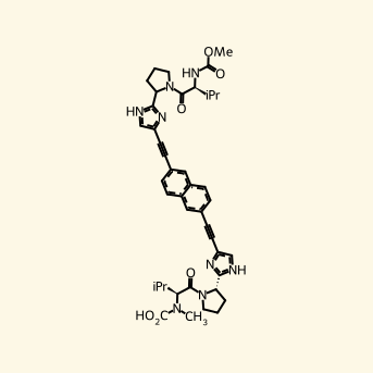 COC(=O)N[C@H](C(=O)N1CCCC1c1nc(C#Cc2ccc3cc(C#Cc4c[nH]c([C@@H]5CCCN5C(=O)[C@H](C(C)C)N(C)C(=O)O)n4)ccc3c2)c[nH]1)C(C)C